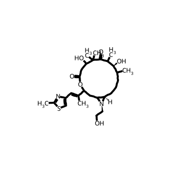 C/C(=C\c1csc(C)n1)C1CC2[C@@H](CCCC(C)[C@H](O)C(C)C(=O)C(C)(C)C(O)CC(=O)O1)[N@@]2CCO